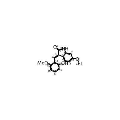 CCOC1=C=C=C2C(=C1)NC(=O)/C2=C/c1c(O)cccc1OC